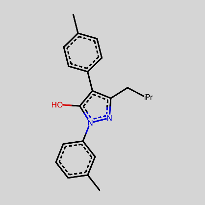 Cc1ccc(-c2c(CC(C)C)nn(-c3cccc(C)c3)c2O)cc1